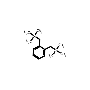 C[Si](C)(C)Cc1ccccc1C[Si](C)(C)C